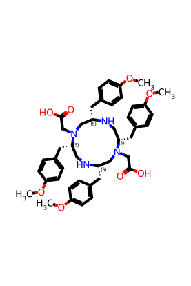 COc1ccc(C[C@H]2CN(CC(=O)O)[C@@H](Cc3ccc(OC)cc3)CN[C@@H](Cc3ccc(OC)cc3)CN(CC(=O)O)[C@@H](Cc3ccc(OC)cc3)CN2)cc1